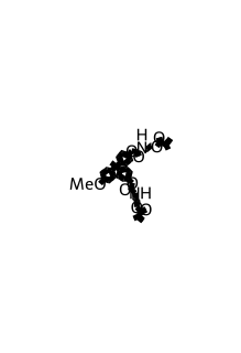 C=C(C)C(=O)OCCNC(=O)Oc1ccc(C(C)(c2ccc(OC)cc2)c2ccc(OC(=O)NCCOC(=O)C(=C)C)cc2)cc1